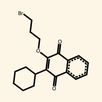 O=C1C(OCCCBr)=C(C2CCCCC2)C(=O)c2ccccc21